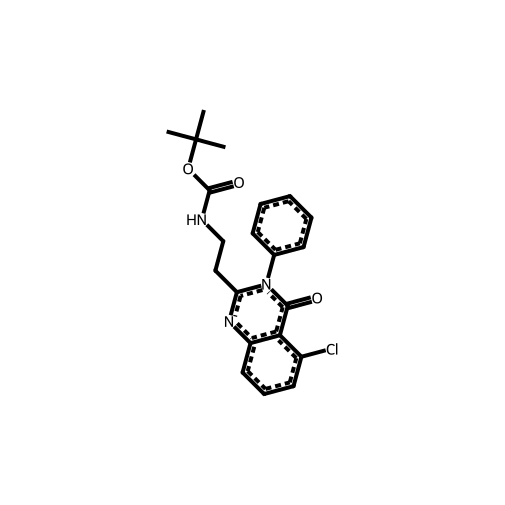 CC(C)(C)OC(=O)NCCc1nc2cccc(Cl)c2c(=O)n1-c1ccccc1